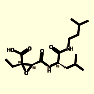 CC[C@]1(C(=O)O)O[C@@H]1C(=O)N[C@@H](CC(C)C)C(=O)NCCC(C)C